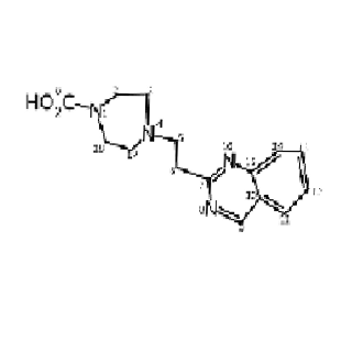 O=C(O)N1CCN(CCc2ncc3ccccc3n2)CC1